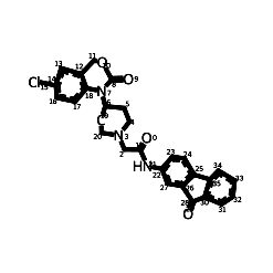 O=C(CN1CCC(N2C(=O)OCc3cc(Cl)ccc32)CC1)Nc1ccc2c(c1)C(=O)c1ccccc1-2